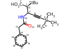 CC(C)(C)[C@H](C(=O)O)C(C#C[Si](C)(C)C)NC(=O)Cc1ccccc1